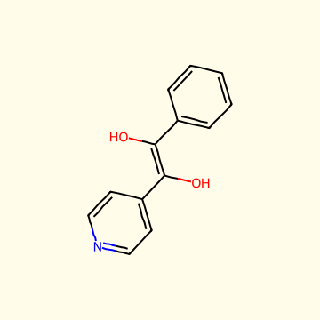 O/C(=C(/O)c1ccncc1)c1ccccc1